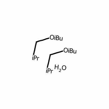 CC(C)COCC(C)C.CC(C)COCC(C)C.O